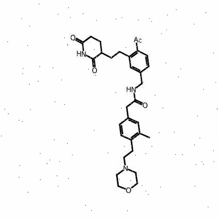 CC(=O)c1ccc(CNC(=O)Cc2ccc(CCN3CCOCC3)c(C)c2)cc1CCC1CCC(=O)NC1=O